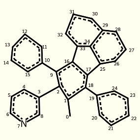 Cc1c(-c2cccnc2)c(-c2ccccc2)c2c(c1-c1ccccc1)-c1cccc3cccc-2c13